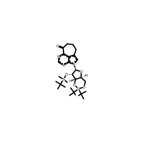 CC(C)(C)[Si](C)(C)O[C@H]1[C@H]2O[Si](C(C)(C)C)(C(C)(C)C)OC[C@@H]2O[C@@H]1n1cc2c3c(ncnc31)C(=O)CCC2